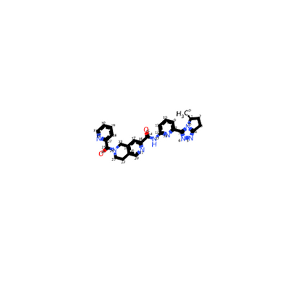 C[C@H]1CCc2nnc(-c3cccc(NC(=O)c4cc5c(cn4)CCN(C(=O)c4ccccn4)C5)n3)n21